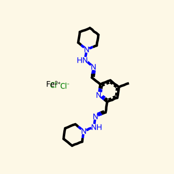 Cc1cc(C=NNN2CCCCC2)nc(C=NNN2CCCCC2)c1.[Cl-].[Cl-].[Fe+2]